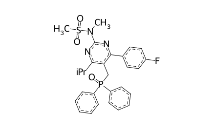 CC(C)c1nc(N(C)S(C)(=O)=O)nc(-c2ccc(F)cc2)c1CP(=O)(c1ccccc1)c1ccccc1